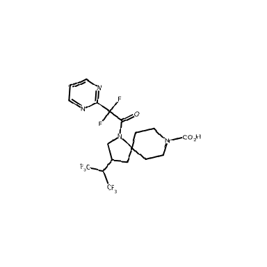 O=C(O)N1CCC2(CC1)CC(C(C(F)(F)F)C(F)(F)F)CN2C(=O)C(F)(F)c1ncccn1